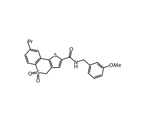 COc1cccc(CNC(=O)c2cc3c(s2)-c2cc(C(C)C)ccc2S(=O)(=O)C3)c1